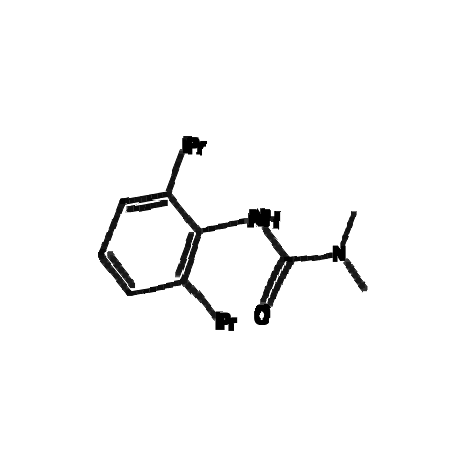 CC(C)c1cccc(C(C)C)c1NC(=O)N(C)C